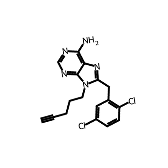 C#CCCCn1c(Cc2cc(Cl)ccc2Cl)nc2c(N)ncnc21